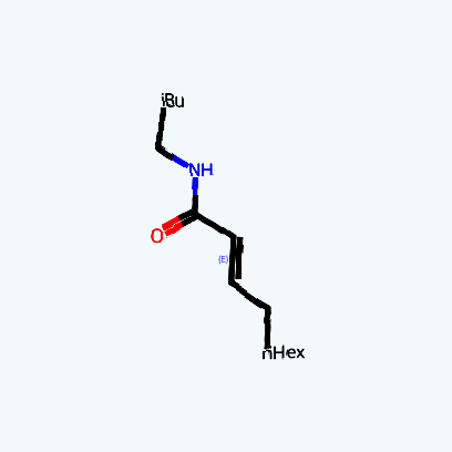 CCCCCCC/C=C/C(=O)NCC(C)CC